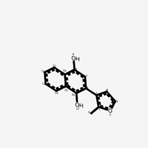 Cc1occc1-c1cc(O)c2ccccc2c1O